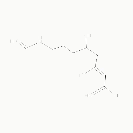 C=CNCCCC(C)C/C(O)=C/C(C)=N